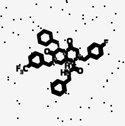 O=C1[C@H](CC2CCCCC2)N2C(=O)CN(Cc3ccc(F)cc3)N(C(=O)NCc3ccccc3)[C@H]2CN1Cc1cccc(C(F)(F)F)c1